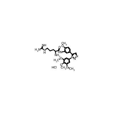 COc1ccc(-c2cnnn2-c2cc(OC)c(OC)c(OC)c2)cc1NC(=O)C(N)CCCNC(=N)N.Cl